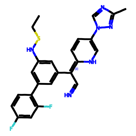 CCSNc1cc(/C(C=N)=C2\C=CC(n3cnc(C)n3)=CN2)cc(-c2ccc(F)cc2F)c1